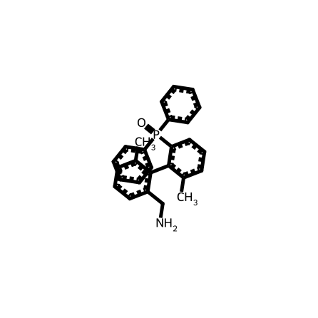 Cc1cccc(CN)c1-c1c(C)cccc1P(=O)(c1ccccc1)c1ccccc1